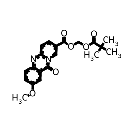 COc1ccc2nc3ccc(C(=O)OCOC(=O)C(C)(C)C)cn3c(=O)c2c1